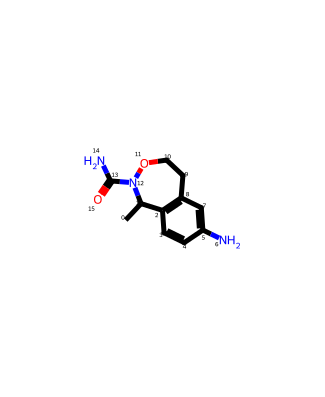 CC1c2ccc(N)cc2CCON1C(N)=O